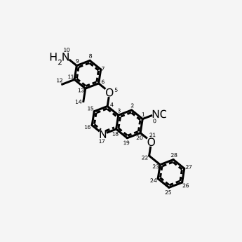 [C-]#[N+]c1cc2c(Oc3ccc(N)c(C)c3C)ccnc2cc1OCc1ccccc1